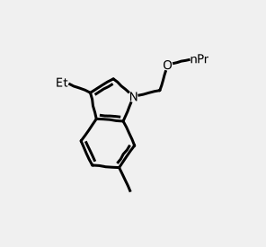 CCCOCn1cc(CC)c2ccc(C)cc21